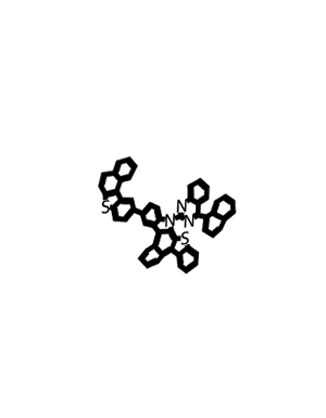 c1ccc2c(-c3nc(-n4c5ccc(-c6ccc7sc8ccc9ccccc9c8c7c6)cc5c5c6ccccc6c6c7ccccc7sc6c54)nc4ccccc34)cccc2c1